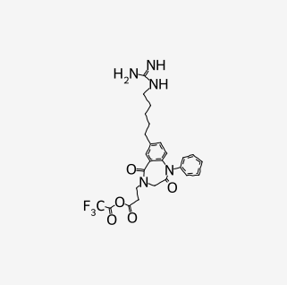 N=C(N)NCCCCCc1ccc2c(c1)C(=O)N(CCC(=O)OC(=O)C(F)(F)F)CC(=O)N2c1ccccc1